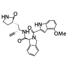 C#C[C@H](C[C@@H]1CCNC1=O)NC(=O)[C@@H]1c2ccccc2CN1C(=O)c1cc2c(OC)cccc2[nH]1